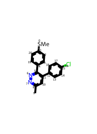 CSc1ccc(-c2nnc(C)cc2-c2ccc(Cl)cc2)cc1